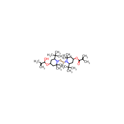 C=C(C)C(=O)OC1CC(C(C)(C)C)N(SSN2C(C(C)(C)C)CC(OC(O)C(=C)C)CC2(C)C)C(C)(C)C1